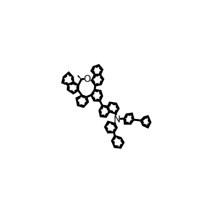 C[C@H]1Oc2c(ccc3ccccc23)-c2ccc(-c3cccc4c(N(c5ccc(-c6ccccc6)cc5)c5cccc(-c6ccccc6)c5)cccc34)cc2-c2ccccc2-c2ccc3ccccc3c21